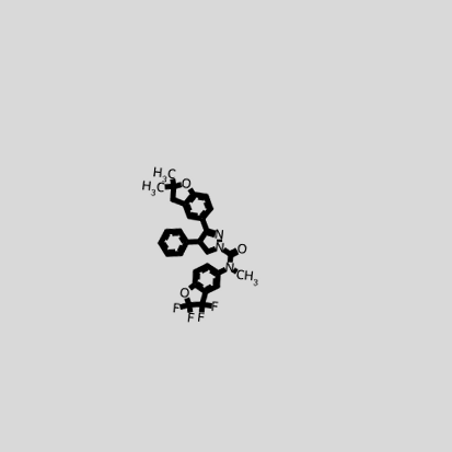 CN(C(=O)N1CC(c2ccccc2)C(c2ccc3c(c2)CC(C)(C)O3)=N1)c1ccc2c(c1)C(F)(F)C(F)(F)O2